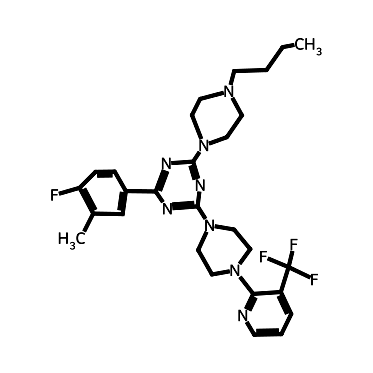 CCCCN1CCN(c2nc(-c3ccc(F)c(C)c3)nc(N3CCN(c4ncccc4C(F)(F)F)CC3)n2)CC1